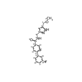 COCc1cc(CNC(=O)c2ccc(-c3cccc(F)c3)nc2)n[nH]1